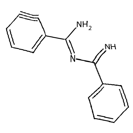 N=C(/N=C(\N)c1c#cccc1)c1ccccc1